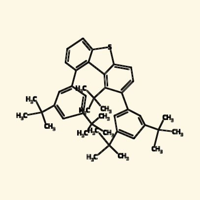 CC(C)(C)c1cc(-c2ccc3sc4cccc(-c5cc(C(C)(C)C)cc(C(C)(C)C)c5)c4c3c2C(C)(C)C)cc(C(C)(C)C)c1